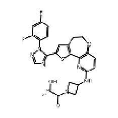 C[C@H](O)C(=O)N1CC(Nc2ccc3c(n2)-c2sc(-c4ncnn4-c4ccc(F)cc4F)cc2CCO3)C1